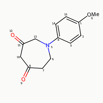 COc1ccc(N2CCC(=O)CC(=O)C2)cc1